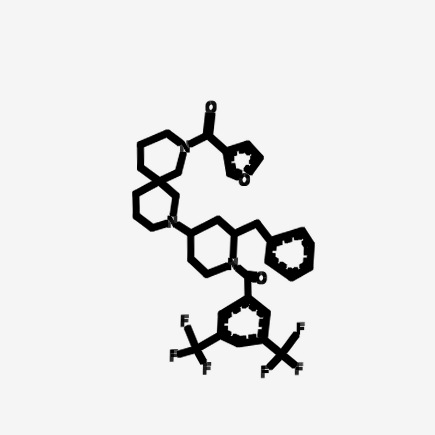 O=C(c1ccoc1)N1CCCC2(CCCN(C3CCN(C(=O)c4cc(C(F)(F)F)cc(C(F)(F)F)c4)C(Cc4ccccc4)C3)C2)C1